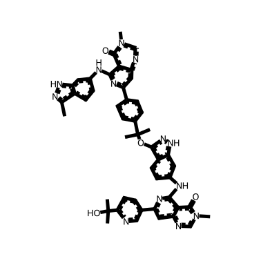 Cc1n[nH]c2cc(Nc3nc(-c4ccc(C(C)(C)Oc5n[nH]c6cc(Nc7nc(-c8ccc(C(C)(C)O)nc8)cc8ncn(C)c(=O)c78)ccc56)cc4)cc4ncn(C)c(=O)c34)ccc12